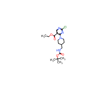 CCOC(=O)c1cnc(Cl)nc1N1CCC(CNC(=O)OC(C)(C)C)CC1